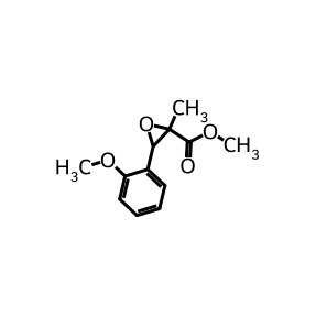 COC(=O)C1(C)OC1c1ccccc1OC